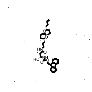 C=CCC[C@@H]1CCC[C@]2(CCC[C@@H](CCCNC(=O)[C@@H](C)[C@@H](O)NC(=O)OCC3c4ccccc4-c4ccccc43)O2)O1